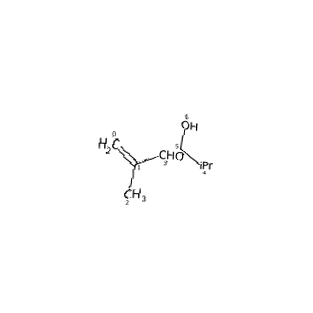 C=C(C)C=O.CC(C)CO